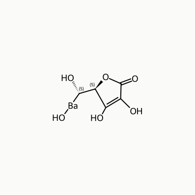 O=C1O[C@H]([C@@H](O)[Ba][OH])C(O)=C1O